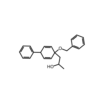 CC(O)CC1(OCc2ccccc2)C=CC(c2ccccc2)C=C1